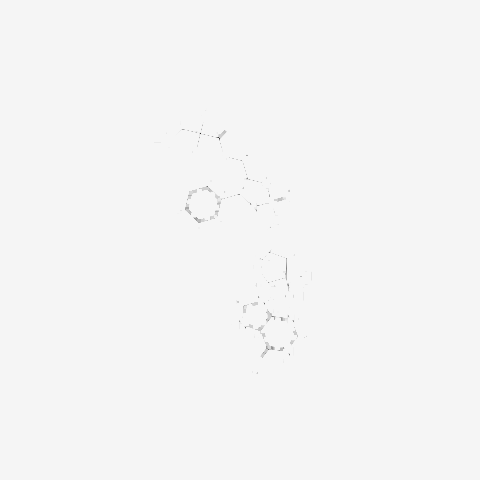 CC(C)(CO)C(=O)SCCOP(=O)(NCc1ccccc1)OC[C@@H]1C[C@@](C)(O)[C@H](n2cnc3c(=O)[nH]cnc32)O1